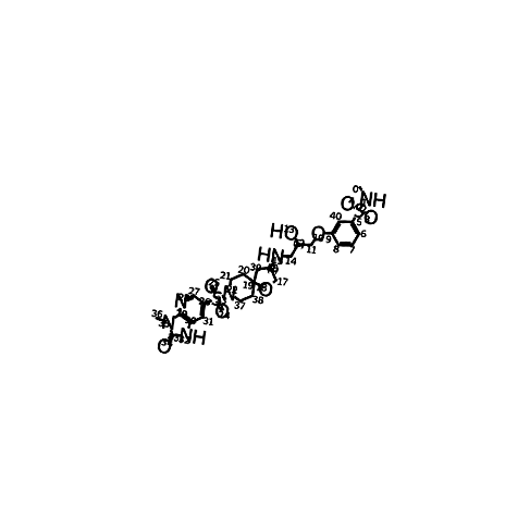 CNS(=O)(=O)c1cccc(OC[C@@H](O)CN[C@H]2COC3(CCN(S(=O)(=O)c4cnc5c(c4)[nH]c(=O)n5C)CC3)C2)c1